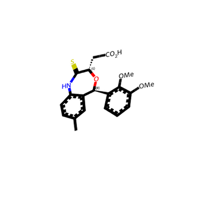 COc1cccc([C@@H]2O[C@@H](CC(=O)O)C(=S)Nc3ccc(C)cc32)c1OC